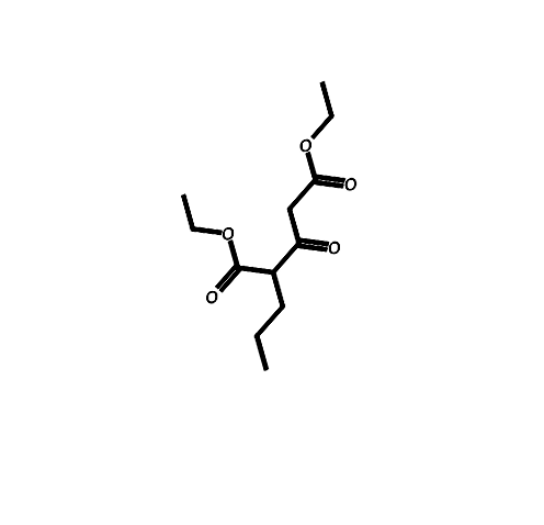 CCCC(C(=O)CC(=O)OCC)C(=O)OCC